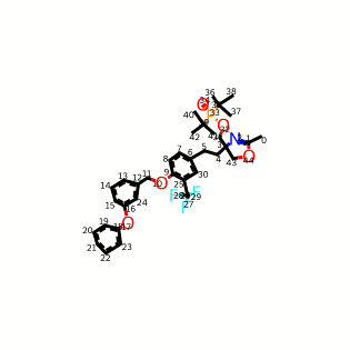 CC1=NC(CCc2ccc(OCc3cccc(Oc4ccccc4)c3)c(C(F)(F)F)c2)(COP(=O)(C(C)(C)C)C(C)(C)C)CO1